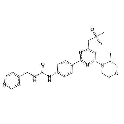 C[C@H]1COCCN1c1cc(CS(C)(=O)=O)nc(-c2ccc(NC(=O)NCc3ccncc3)cc2)n1